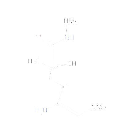 CN/C=C(/N)CCC(C)(C)C(=O)NNC